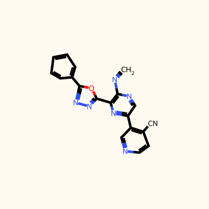 C=Nc1ncc(-c2cnccc2C#N)nc1-c1nnc(-c2ccccc2)o1